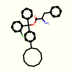 NC(Cc1ccccc1)C(=O)OC(c1ccccc1)(c1ccc(C2CCCCCCCCC2)cc1)c1ccccc1Cl